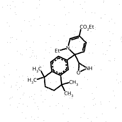 CCOC(=O)C1=CN(CC)C(c2ccc3c(c2)C(C)(C)CCC3(C)C)(C2NO2)C=C1